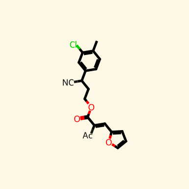 CC(=O)C(=Cc1ccco1)C(=O)OCCC(C#N)c1ccc(C)c(Cl)c1